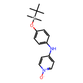 CC(C)(C)[Si](C)(C)Oc1ccc(Nc2cc[n+]([O-])cc2)cc1